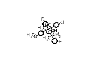 COc1ccc(C(C)(CCC(C)(C)c2cccc(F)c2)C(C)(c2ccc(F)cc2)C(C)(C)c2ccc(Cl)cc2)cc1